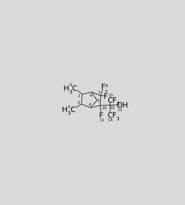 CC1C(C)C2CC1C(F)(F)C2(F)C(O)(C(F)(F)F)C(F)(F)F